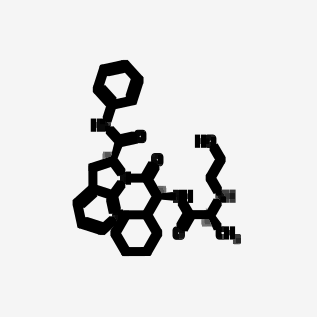 C[C@H](NCCO)C(=O)N[C@H](C(=O)N1c2ncccc2C[C@H]1C(=O)Nc1ccccc1)C1CCCCC1